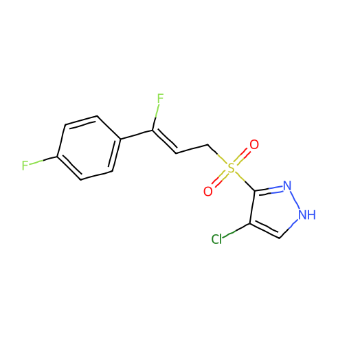 O=S(=O)(CC=C(F)c1ccc(F)cc1)c1n[nH]cc1Cl